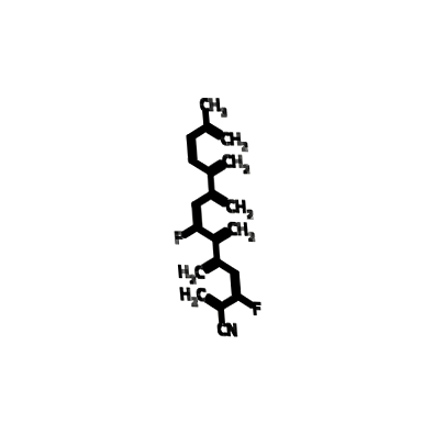 C=C(C)/C=C\C(=C)C(=C)/C=C(/F)C(=C)C(=C)/C=C(/F)C(=C)C#N